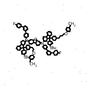 C=CC1=CCC(OCCCc2ccc(C3(C4C=CC(C(C)(C)C)=CC4)C4=C(CCC(N(C5=CC6OC7C=C(N(C8=CC9C(C=C8)c8ccccc8C9(C8=CC=C(C(C)(C)C)CC8)C8C=CC(CCCCOc9ccc(C=C)cc9)CC8)c8ccc(-c9cccc(C%10CC=C(F)CC%10)c9)cc8)C=CC7C6C=C5)c5ccc(-c6cccc(-c7ccc(F)cc7)c6)cc5)=C4)c4ccccc43)cc2)C=C1